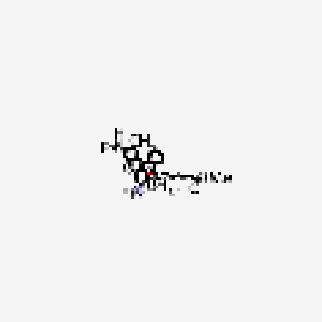 CC/N=c1\cc2oc3cc(NCC)c(C)cc3c(-c3ccccc3C(=O)N(C)CCCCCC(=O)OC)c-2cc1C